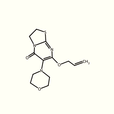 C=CCOc1nc2n(c(=O)c1N1CCOCC1)CCS2